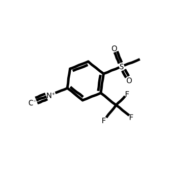 [C-]#[N+]c1ccc(S(C)(=O)=O)c(C(F)(F)F)c1